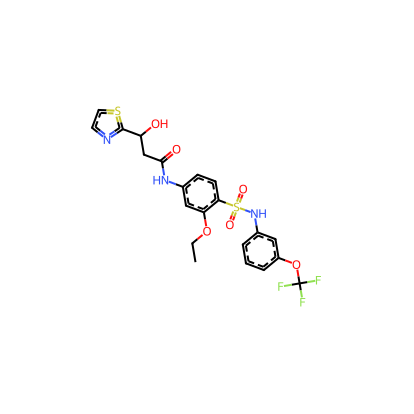 CCOc1cc(NC(=O)CC(O)c2nccs2)ccc1S(=O)(=O)Nc1cccc(OC(F)(F)F)c1